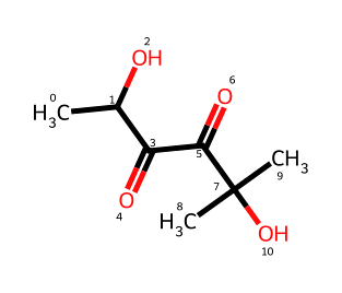 CC(O)C(=O)C(=O)C(C)(C)O